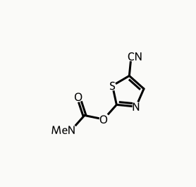 CNC(=O)Oc1ncc(C#N)s1